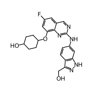 OCc1n[nH]c2cc(Nc3ncc4cc(F)cc(OC5CCC(O)CC5)c4n3)ccc12